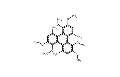 COc1cc(N)c2c(c1OC)c1c(N)cc(OC)c(OC)c1c1c(N)cc(OC)c(OC)c21